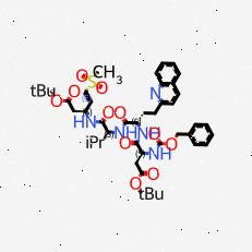 CC(C)[C@H](NC(=O)[C@H](CCc1ccc2ccccc2n1)NC(=O)[C@H](CC(=O)OC(C)(C)C)NC(=O)OCc1ccccc1)C(=O)N[C@H](/C=C/S(C)(=O)=O)CC(=O)OC(C)(C)C